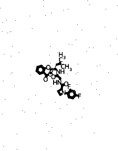 CC(C)C[C@H](NC(=O)CNC(=O)C1CCN1c1ccc(F)cc1F)B1OC(=O)c2ccccc2O1